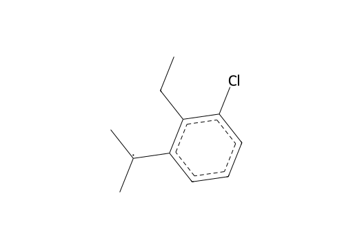 CCc1c(Cl)cccc1[C](C)C